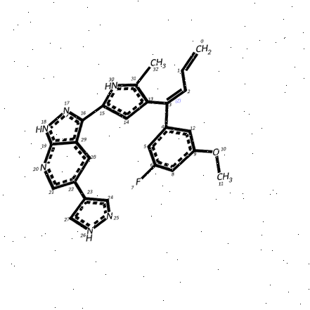 C=C/C=C(/c1cc(F)cc(OC)c1)c1cc(-c2n[nH]c3ncc(-c4cn[nH]c4)cc23)[nH]c1C